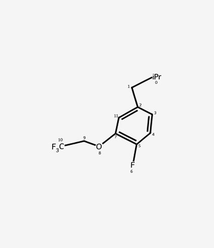 CC(C)Cc1ccc(F)c(OCC(F)(F)F)c1